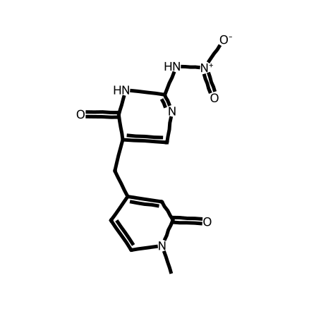 Cn1ccc(Cc2cnc(N[N+](=O)[O-])[nH]c2=O)cc1=O